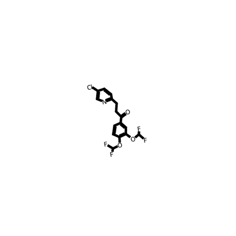 O=C(CCc1ccc(Cl)cn1)c1ccc(OC(F)F)c(OC(F)F)c1